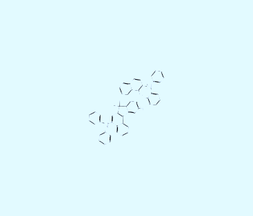 CC1(C)c2cc3c(cc2-c2c1cc(N(c1ccccc1)c1ccccc1)c1ccccc21)Oc1cccc2c1B3c1c(ccc3ccccc13)N2c1ccccc1